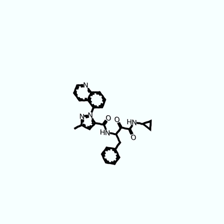 Cc1cc(C(=O)NC(Cc2ccccc2)C(=O)C(=O)NC2CC2)n(-c2cccc3ncccc23)n1